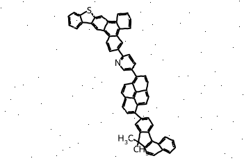 CC1(C)c2cc(-c3ccc4ccc5c(-c6ccc(-c7ccc8c(c7)c7ccccc7c7cc9sc%10ccccc%10c9cc87)nc6)ccc6ccc3c4c65)ccc2-c2c1ccc1ccccc21